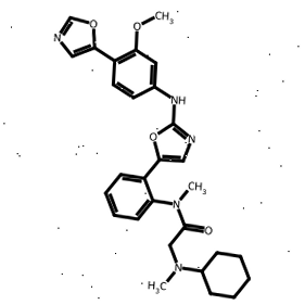 COc1cc(Nc2ncc(-c3ccccc3N(C)C(=O)CN(C)C3CCCCC3)o2)ccc1-c1cnco1